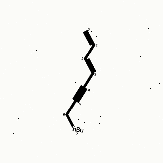 C=CC=CC#CCCCCC